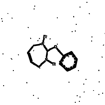 CCN1CC=CCN(CC)C1Oc1ccccc1